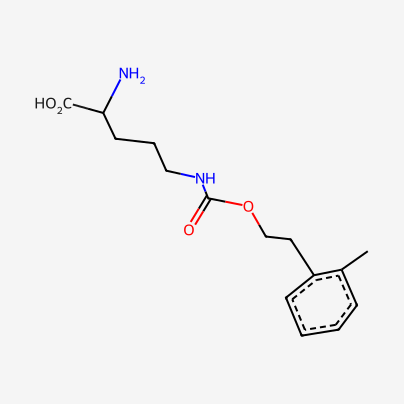 Cc1ccccc1CCOC(=O)NCCCC(N)C(=O)O